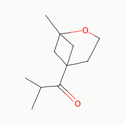 CC(C)C(=O)C12CCOC(C)(C1)C2